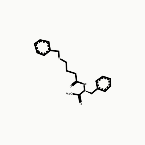 COC(=O)[C@H](Cc1ccccc1)NC(=O)CCCOCc1ccccc1